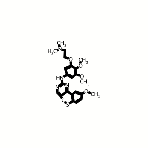 COc1ccc2c(c1)-c1nc(Nc3cc(OC)c(OC)c(OCCN(C)C)c3)ncc1CS2